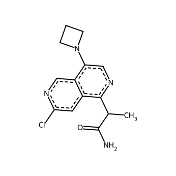 CC(C(N)=O)c1ncc(N2CCC2)c2cnc(Cl)cc12